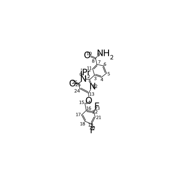 CC(C)n1c(-c2cccc(C(N)=O)c2)nc(OCc2ccc(F)cc2F)cc1=O